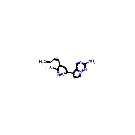 C=C/C=C\c1cc(-c2ccn3nc(N)ncc23)cnc1C